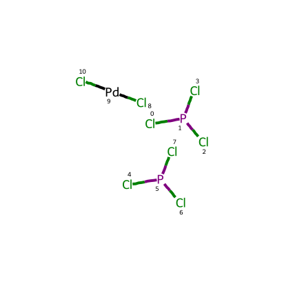 ClP(Cl)Cl.ClP(Cl)Cl.[Cl][Pd][Cl]